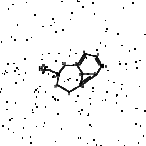 CN1CCC2=C3N=CC=C(C1)C23